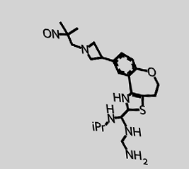 CC(C)NC(NCN)C1NC2=C(CCOc3ccc(C4CN(CC(C)(C)N=O)C4)cc32)S1